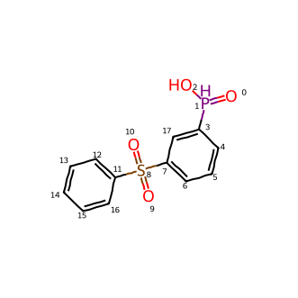 O=[PH](O)c1cccc(S(=O)(=O)c2ccccc2)c1